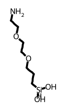 NCCOCCOCCC[SiH](O)O